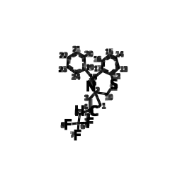 CCC1(C=CCC(F)(F)F)CSc2ccccc2C(c2ccccc2)=N1